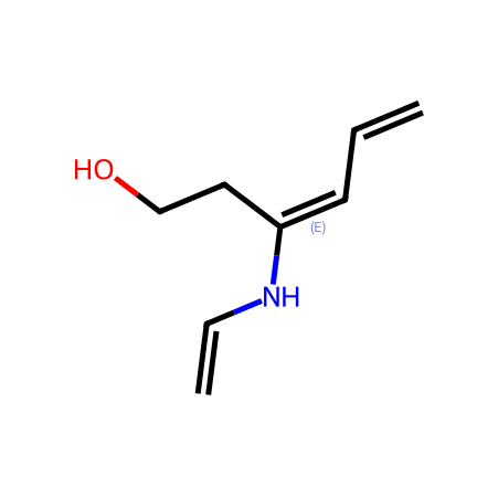 C=C/C=C(\CCO)NC=C